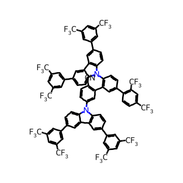 N#Cc1ccc(-n2c3ccc(-c4cc(C(F)(F)F)cc(C(F)(F)F)c4)cc3c3cc(-c4cc(C(F)(F)F)cc(C(F)(F)F)c4)ccc32)cc1-c1cc(-c2ccc(C(F)(F)F)cc2C(F)(F)F)ccc1-n1c2ccc(-c3cc(C(F)(F)F)cc(C(F)(F)F)c3)cc2c2cc(-c3cc(C(F)(F)F)cc(C(F)(F)F)c3)ccc21